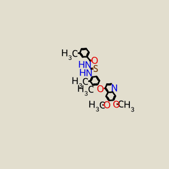 COc1cc2nccc(Oc3ccc(NC(=S)NC(=O)c4cccc(C)c4)c(C)c3C)c2cc1OC